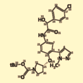 Cn1nccc1-c1cc(NC(=O)C(O)c2ccc(Cl)cc2)ccc1O[C@@H]1CCN(C(=O)OC(C)(C)C)C1